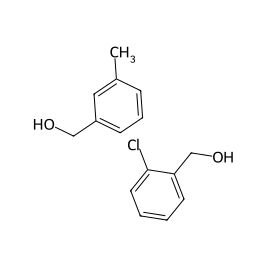 Cc1cccc(CO)c1.OCc1ccccc1Cl